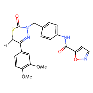 CCC1SC(=O)N(Cc2ccc(NC(=O)c3ccno3)cc2)N=C1c1ccc(OC)c(OC)c1